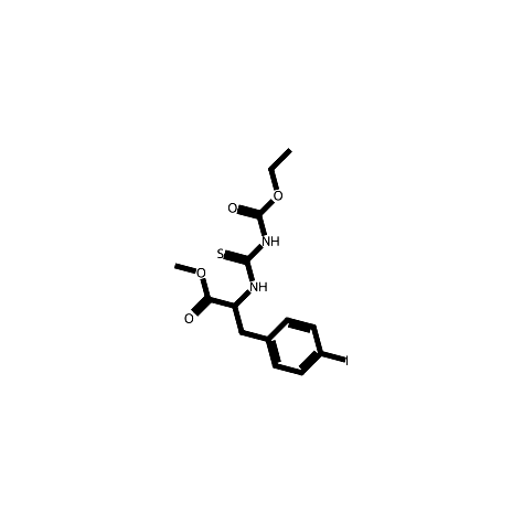 CCOC(=O)NC(=S)NC(Cc1ccc(I)cc1)C(=O)OC